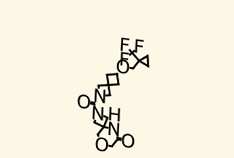 O=C1COCC2(CN(C(=O)N3CC4(CC(OCC5(C(F)(F)F)CC5)C4)C3)C2)N1